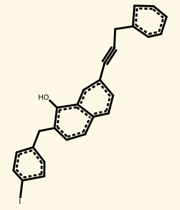 Oc1c(Cc2ccc(I)cc2)ccc2ccc(C#CCc3ccccc3)cc12